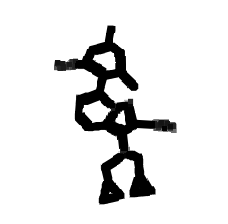 COc1cc(C)cc(C)c1-c1cccc2c(N(CC3CC3)CC3CC3)c(SC)nn12